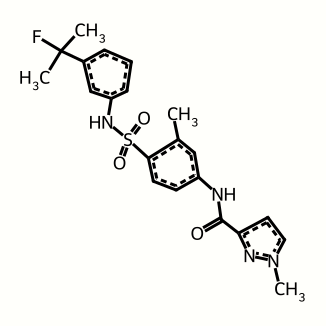 Cc1cc(NC(=O)c2ccn(C)n2)ccc1S(=O)(=O)Nc1cccc(C(C)(C)F)c1